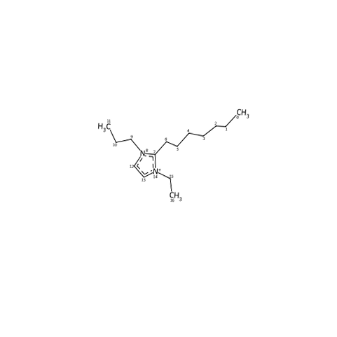 CCCCCCCc1n(CCC)cc[n+]1CC